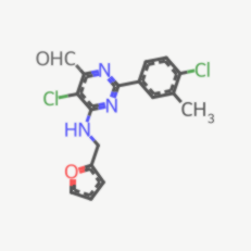 Cc1cc(-c2nc(C=O)c(Cl)c(NCc3ccco3)n2)ccc1Cl